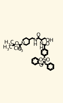 CC(C)(C)OC(=O)N1CCC(CNC(=O)C(CO)NC(=O)c2ccc(S(=O)(=O)N(Oc3ccccc3)c3ccccc3)cc2)CC1